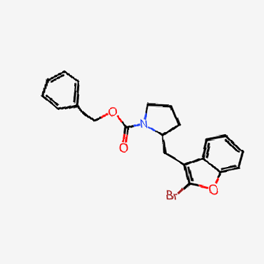 O=C(OCc1ccccc1)N1CCC[C@H]1Cc1c(Br)oc2ccccc12